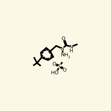 CNC(=O)N(N)Cc1ccc(C(C)(C)C)cc1.CS(=O)(=O)O